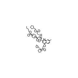 CCCCOC(=O)N1CCN(C(=O)[C@H](CCC(=O)OCC2CCCC2)NC(=O)c2cc(OCC(=O)N3CCC[C@H]3COC)c3ccc(C)cc3n2)CC1